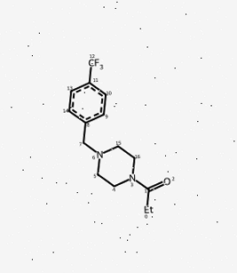 CCC(=O)N1CCN(Cc2ccc(C(F)(F)F)cc2)CC1